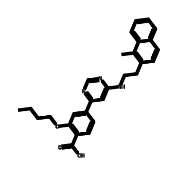 CCCCOc1cc(-c2cc(NCCc3ccc4ccccc4c3C)ncn2)ccc1C(=O)O